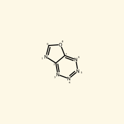 c1nc2nnnnc2o1